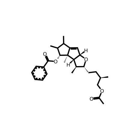 CC(=O)OC[C@H](C)CC[C@H]1O[C@H]2C=C3C(C)C(C)[C@@H](OC(=O)c4ccccc4)[C@]3(C)[C@H]2[C@@H]1C